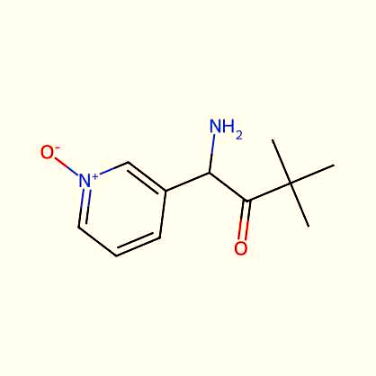 CC(C)(C)C(=O)C(N)c1ccc[n+]([O-])c1